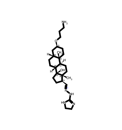 C[C@]12CC[C@H](OCCCN)C[C@H]1CC[C@@H]1[C@@H]2CC[C@]2(C)[C@@H](/C=N/NC3=NCCN3)CC[C@]12O